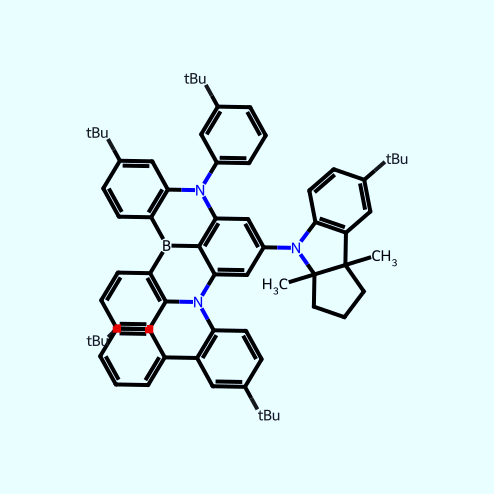 CC(C)(C)c1cccc(N2c3cc(C(C)(C)C)ccc3B3c4ccc(C(C)(C)C)cc4N(c4ccc(C(C)(C)C)cc4-c4ccccc4)c4cc(N5c6ccc(C(C)(C)C)cc6C6(C)CCCC56C)cc2c43)c1